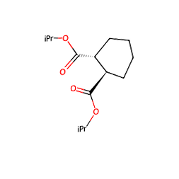 CC(C)OC(=O)[C@@H]1CCCC[C@H]1C(=O)OC(C)C